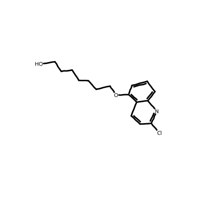 OCCCCCCCOc1cccc2nc(Cl)ccc12